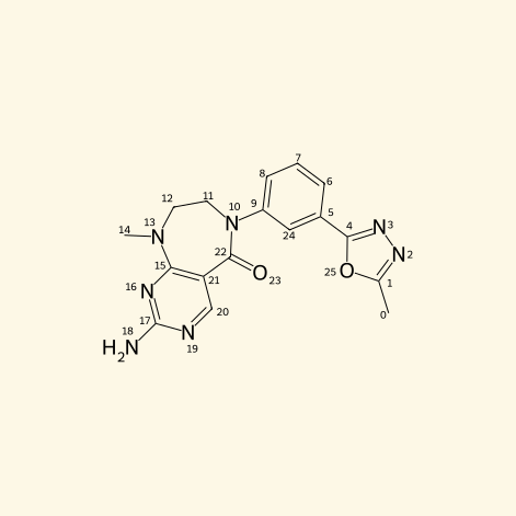 Cc1nnc(-c2cccc(N3CCN(C)c4nc(N)ncc4C3=O)c2)o1